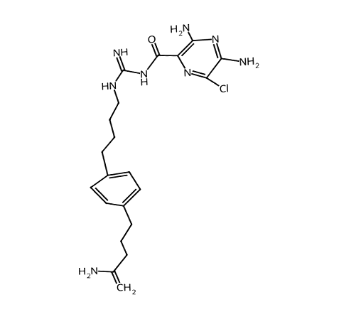 C=C(N)CCCc1ccc(CCCCNC(=N)NC(=O)c2nc(Cl)c(N)nc2N)cc1